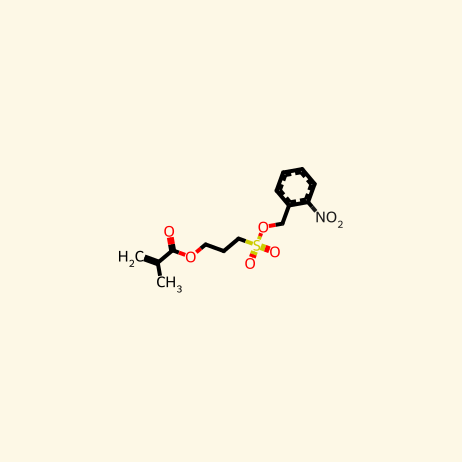 C=C(C)C(=O)OCCCS(=O)(=O)OCc1ccccc1[N+](=O)[O-]